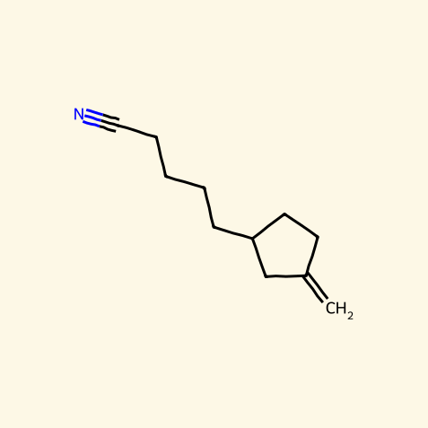 C=C1CCC(CCCCC#N)C1